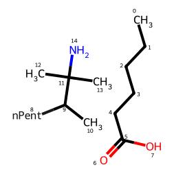 CCCCCC(=O)O.CCCCCC(C)C(C)(C)N